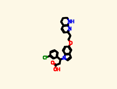 O=C(O)CC(c1cccc(Cl)c1)n1ccc2cc(OCCc3ccc4c(n3)NCCC4)ccc21